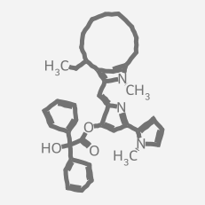 CCC1CCCCCCCCc2cc1c(C=C1N=C(c3cccn3C)C=C1OC(=O)C(O)(c1ccccc1)c1ccccc1)n2C